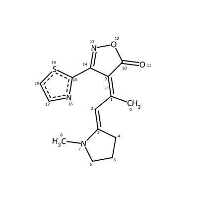 C/C(C=C1CCCN1C)=C1\C(=O)ON=C1c1nccs1